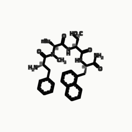 CCCC[C@@H](C(=O)N[C@@H](CC(=O)O)C(=O)N[C@@H](Cc1cccc2ccccc12)C(N)=O)N(C)C(=O)[C@@H](N)Cc1ccccc1